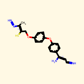 C/C(N=N)=C(/S)COc1ccc(Oc2ccc(/C(N)=C/C=N)cc2)cc1